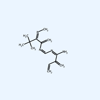 C=CC(=C)/C(N)=N\C=N/C(=C)/C(=N\C)C(C)(C)C